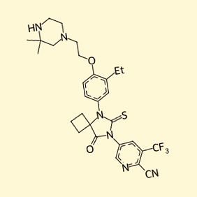 CCc1cc(N2C(=S)N(c3cnc(C#N)c(C(F)(F)F)c3)C(=O)C23CCC3)ccc1OCCN1CCNC(C)(C)C1